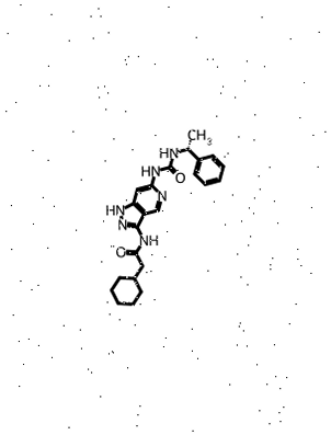 C[C@@H](NC(=O)Nc1cc2[nH]nc(NC(=O)CC3CCCCC3)c2cn1)c1ccccc1